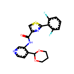 O=C(Nc1cnccc1C1OCCCO1)c1csc(-c2c(F)cccc2F)n1